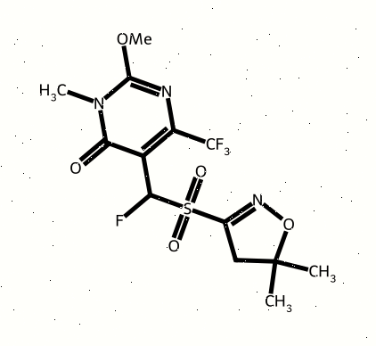 COc1nc(C(F)(F)F)c(C(F)S(=O)(=O)C2=NOC(C)(C)C2)c(=O)n1C